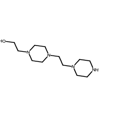 OCCN1CCN(CCN2CCNCC2)CC1